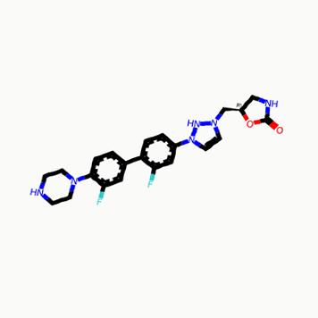 O=C1NC[C@H](CN2C=CN(c3ccc(-c4ccc(N5CCNCC5)c(F)c4)c(F)c3)N2)O1